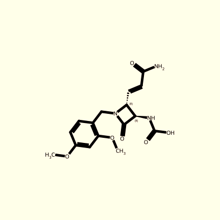 COc1ccc(CN2C(=O)[C@H](NC(=O)O)[C@H]2C=CC(N)=O)c(OC)c1